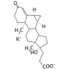 C[C@]12CCC(=O)C=C1[C@H]1C[C@H]1C1C2CC[C@@]2(C)C1CC[C@@]2(O)CCC(=O)[O-].[K+]